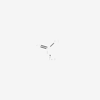 C[PH](=O)[Na]